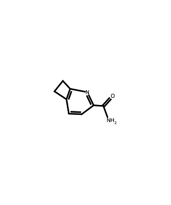 NC(=O)c1ccc2c(n1)CC2